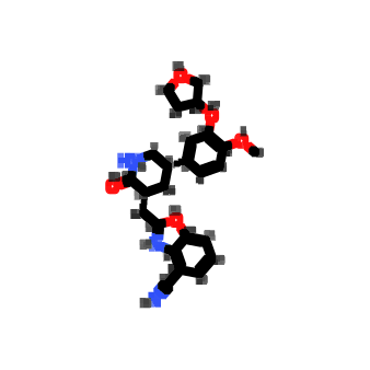 COc1ccc([C@H]2CNC(=O)[C@@H](Cc3nc4c(C#N)cccc4o3)C2)cc1OC1CCOC1